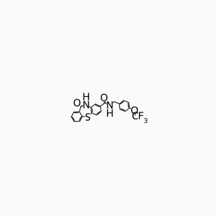 O=C(NCc1ccc(OC(F)(F)F)cc1)c1ccc2c(c1)NC(=O)c1ccccc1S2